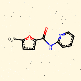 O=C(Nc1ccccn1)c1ccc([N+](=O)[O-])o1